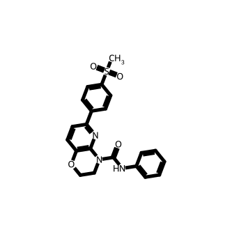 CS(=O)(=O)c1ccc(-c2ccc3c(n2)N(C(=O)Nc2ccccc2)CCO3)cc1